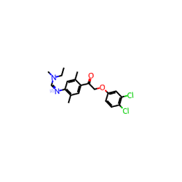 CCN(C)/C=N\c1cc(C)c(C(=O)COc2ccc(Cl)c(Cl)c2)cc1C